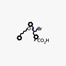 Cc1cc(CC(/C=C/c2ccccc2OCCCCCc2ccccc2)CCBr)ccc1C(=O)O